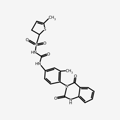 CC1=CCC(S(=O)(=O)NC(=O)Nc2ccc(-n3c(=O)[nH]c4ccccc4c3=O)c(C)c2)S1